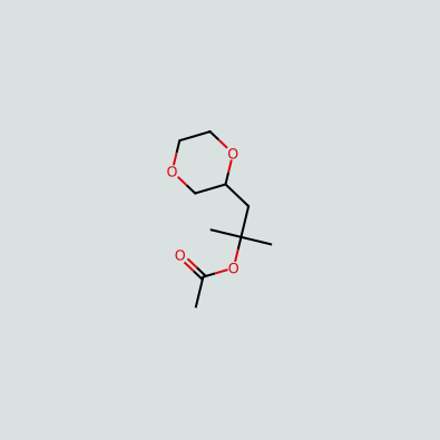 CC(=O)OC(C)(C)CC1COCCO1